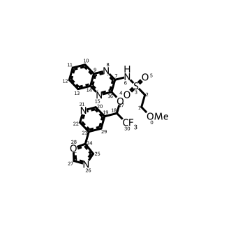 COCCS(=O)(=O)Nc1nc2ccccc2nc1OC(c1cncc(-c2cnco2)c1)C(F)(F)F